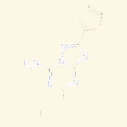 CSc1nc(N)n2nc(-c3ccco3)nc2n1